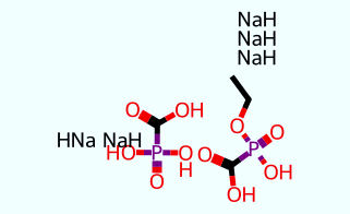 CCOP(=O)(O)C(=O)O.O=C(O)P(=O)(O)O.[NaH].[NaH].[NaH].[NaH].[NaH]